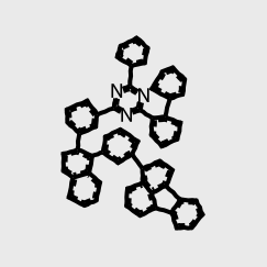 c1ccc(-c2nc(-c3cccc(-c4ccc5ccccc5c4-c4cccc(-c5ccc6c7c(cccc57)-c5ccccc5-6)c4)c3)nc(-c3ccccc3-c3ccccc3)n2)cc1